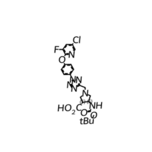 CC(C)(C)OC(=O)N[C@@H]1CN(Cc2nnn(-c3ccc(Oc4ncc(Cl)cc4F)cc3)n2)C[C@@H]1C(=O)O